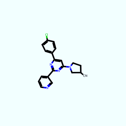 N#CC1CCN(c2cc(-c3ccc(Cl)cc3)nc(-c3cccnc3)n2)C1